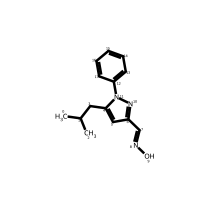 CC(C)Cc1cc(C=NO)nn1-c1ccccc1